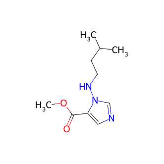 COC(=O)c1cncn1NCCC(C)C